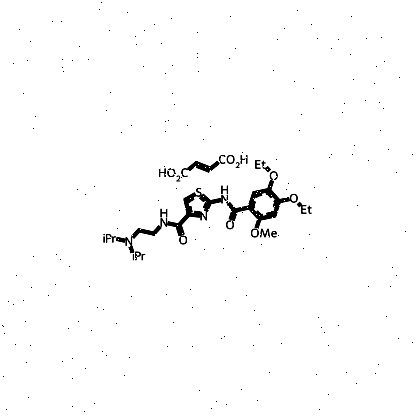 CCOc1cc(OC)c(C(=O)Nc2nc(C(=O)NCCN(C(C)C)C(C)C)cs2)cc1OCC.O=C(O)/C=C/C(=O)O